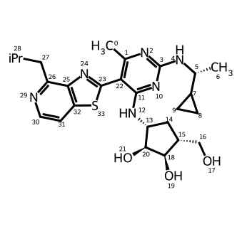 Cc1nc(N[C@H](C)C2CC2)nc(N[C@@H]2C[C@H](CO)[C@@H](O)[C@H]2O)c1-c1nc2c(CC(C)C)nccc2s1